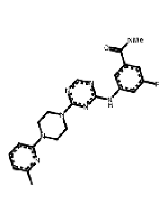 CNC(=O)c1cc(F)cc(Nc2ncnc(N3CCN(c4cccc(C)n4)CC3)n2)c1